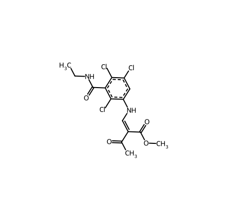 CCNC(=O)c1c(Cl)c(Cl)cc(NC=C(C(C)=O)C(=O)OC)c1Cl